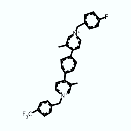 Cc1c[n+](Cc2ccc(F)cc2)ccc1-c1ccc(-c2cc[n+](Cc3ccc(C(F)(F)F)cc3)cc2C)cc1